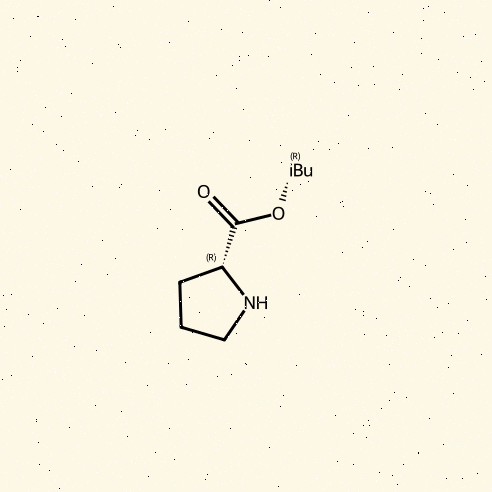 CC[C@@H](C)OC(=O)[C@H]1CCCN1